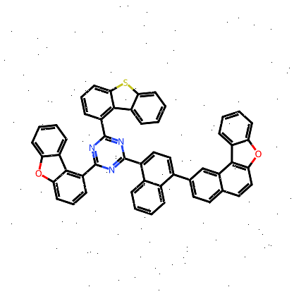 c1ccc2c(c1)oc1cccc(-c3nc(-c4ccc(-c5ccc6ccc7oc8ccccc8c7c6c5)c5ccccc45)nc(-c4cccc5sc6ccccc6c45)n3)c12